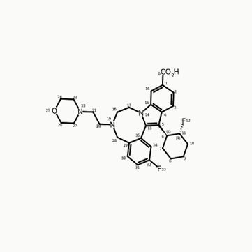 O=C(O)c1ccc2c([C@@H]3CCCC[C@H]3F)c3n(c2c1)CCN(CCN1CCOCC1)Cc1ccc(F)cc1-3